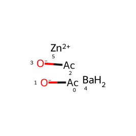 CC(=O)[O-].CC(=O)[O-].[BaH2].[Zn+2]